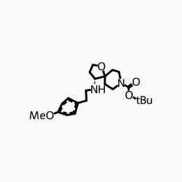 COc1ccc(CCN[C@@H]2CCOC23CCN(C(=O)OC(C)(C)C)CC3)cc1